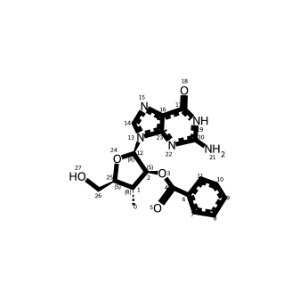 C[C@H]1[C@H](OC(=O)c2ccccc2)[C@H](n2cnc3c(=O)[nH]c(N)nc32)O[C@@H]1CO